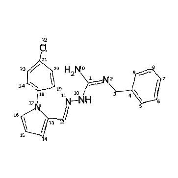 NC(=NCc1ccccc1)NN=Cc1cccn1-c1ccc(Cl)cc1